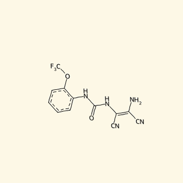 N#C/C(N)=C(\C#N)NC(=O)Nc1ccccc1OC(F)(F)F